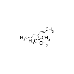 CC=CC(CCC)C(C)(C)C